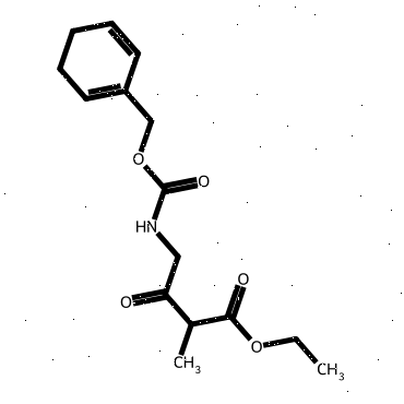 CCOC(=O)C(C)C(=O)CNC(=O)OCC1=CCCC=C1